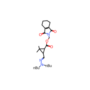 CCCCN(CCCC)/N=C/C1C(C(=O)OCN2C(=O)C3=C(CCCC3)C2=O)C1(C)C